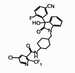 N#Cc1ccc(F)c(C2(O)C(=O)N(CC3CCC(NC(=O)c4cc(Cl)cnc4C(F)(F)F)CC3)c3ccccc32)c1